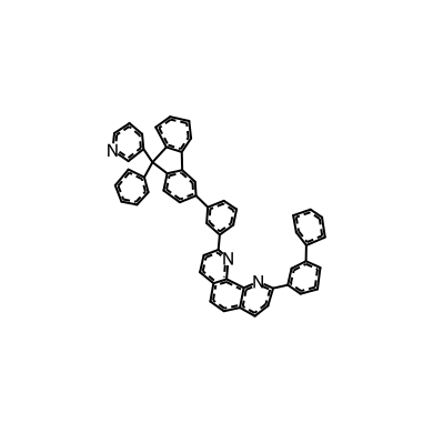 c1ccc(-c2cccc(-c3ccc4ccc5ccc(-c6cccc(-c7ccc8c(c7)-c7ccccc7C8(c7ccccc7)c7cccnc7)c6)nc5c4n3)c2)cc1